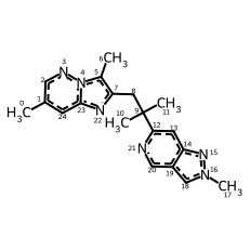 Cc1cnn2c(C)c(CC(C)(C)c3cc4nn(C)cc4cn3)nc2c1